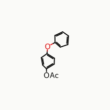 CC(=O)Oc1ccc(Oc2ccccc2)cc1